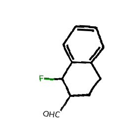 O=CC1CCc2ccccc2C1F